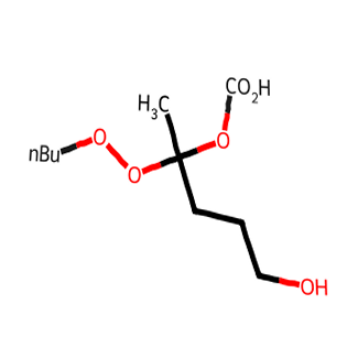 CCCCOOC(C)(CCCO)OC(=O)O